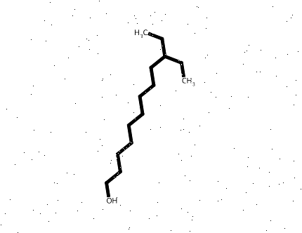 CCC(CC)CCCCCCCCCO